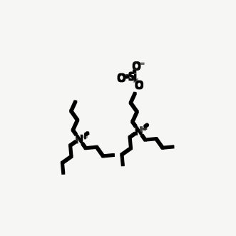 CCCC[N+](C)(CCCC)CCCC.CCCC[N+](C)(CCCC)CCCC.O=[Si]([O-])[O-]